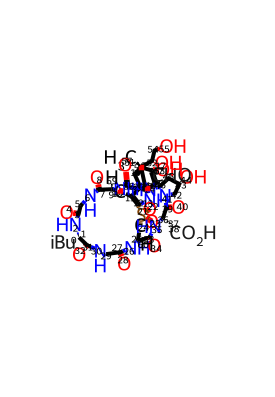 CC[C@H](C)[C@@H]1NC(=O)CNC(=O)[C@@H]2Cc3c([nH]c4cc(O)ccc34)S(=O)(=O)C[C@H](NC(=O)CNC1=O)C(=O)N[C@@H](CC(=O)O)C(=O)N1C[C@H](O)C[C@]1(C=O)N[C@@H]([C@@H](C)[C@@H](O)CO)C(=O)N2